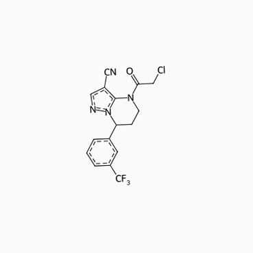 N#Cc1cnn2c1N(C(=O)CCl)CCC2c1cccc(C(F)(F)F)c1